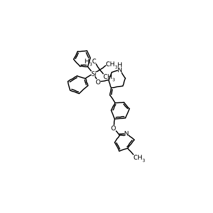 Cc1ccc(Oc2cccc(/C=C3\CCNCC3O[Si](c3ccccc3)(c3ccccc3)C(C)(C)C)c2)nc1